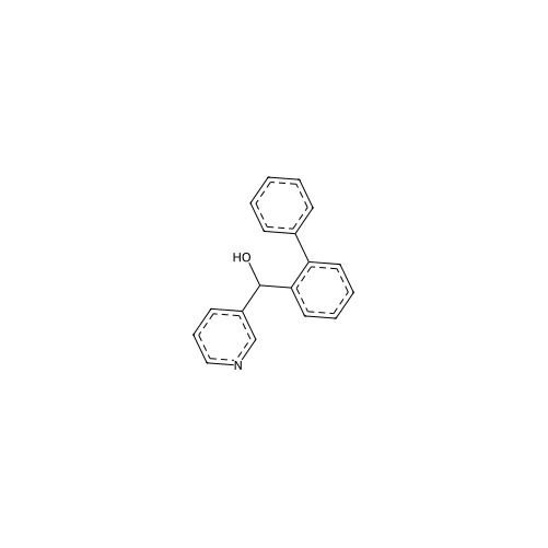 OC(c1cccnc1)c1ccccc1-c1ccccc1